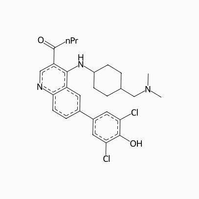 CCCC(=O)c1cnc2ccc(-c3cc(Cl)c(O)c(Cl)c3)cc2c1NC1CCC(CN(C)C)CC1